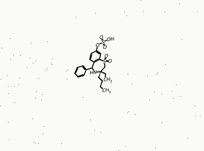 CCCC[C@]1(CC)CS(=O)(=O)c2cc(OS(=O)(=O)O)ccc2C(c2ccccc2)N1